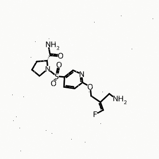 NC/C(=C/F)COc1ccc(S(=O)(=O)N2CCC[C@@H]2C(N)=O)cn1